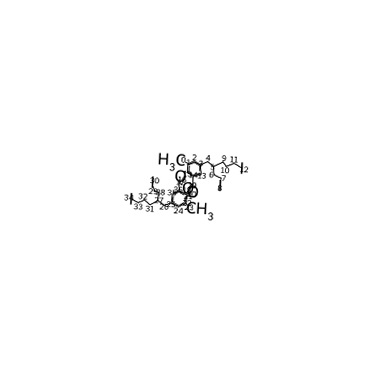 Cc1cc(CC(CCI)CCCI)cc2c1OC1OC2Oc2c(C)cc(CC(CCI)CCCI)cc21